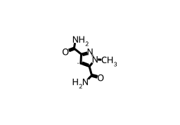 Cn1nc(C(N)=O)[c]c1C(N)=O